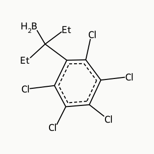 BC(CC)(CC)c1c(Cl)c(Cl)c(Cl)c(Cl)c1Cl